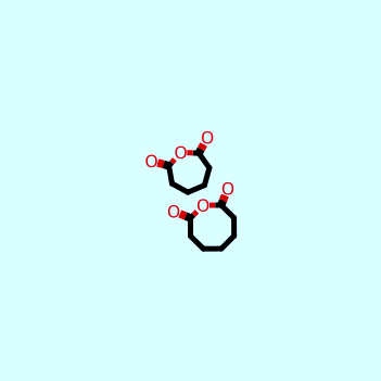 O=C1CCCCC(=O)O1.O=C1CCCCCC(=O)O1